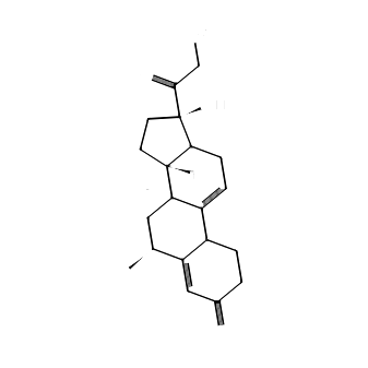 CC(=O)OCC(=O)[C@@]1(O)[C@@H](C)C[C@H]2[C@@H]3C[C@H](C)C4=CC(=O)CC[C@]4(C)C3=CC[C@@]21C